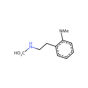 CNc1ccccc1CCNC(=O)O